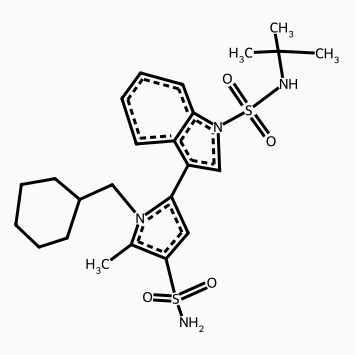 Cc1c(S(N)(=O)=O)cc(-c2cn(S(=O)(=O)NC(C)(C)C)c3ccccc23)n1CC1CCCCC1